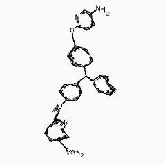 Nc1ccc(Oc2ccc(C(c3ccccc3)c3ccc(Oc4ccc(N)cn4)cc3)cc2)nc1